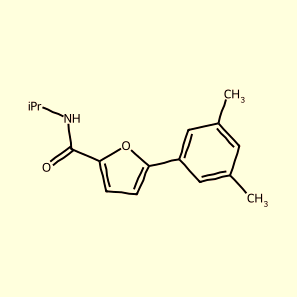 Cc1cc(C)cc(-c2ccc(C(=O)NC(C)C)o2)c1